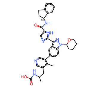 Cc1c(CC(C)NC(=O)O)cncc1-c1ccc2c(c1)c(-c1ncc(C(=O)N[C@H]3CCc4ccccc43)[nH]1)nn2C1CCCCO1